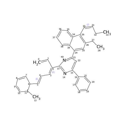 C=C/C(=C\C=C\C1C=CC=CI1C)c1nc(-c2ccccc2)cc(-c2cc(CC)c(/C=C\CC)c3ccccc23)n1